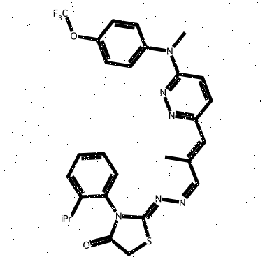 CC(/C=N\N=C1/SCC(=O)N1c1ccccc1C(C)C)=C\c1ccc(N(C)c2ccc(OC(F)(F)F)cc2)nn1